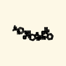 CN(C)c1ccc(NC(=O)N2CCc3nc(C(=O)Nc4ccccc4N)sc3C2)cn1